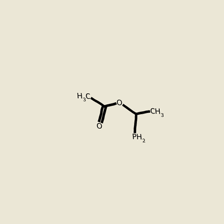 CC(=O)OC(C)P